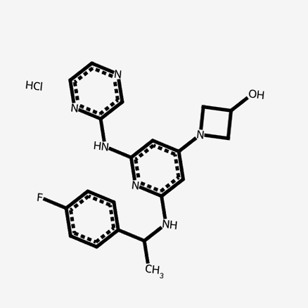 CC(Nc1cc(N2CC(O)C2)cc(Nc2cnccn2)n1)c1ccc(F)cc1.Cl